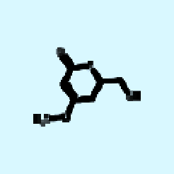 COC1=CC(=O)SC(CO)C1